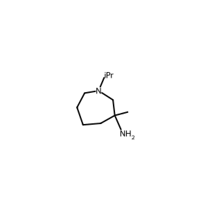 CC(C)N1CCCCC(C)(N)C1